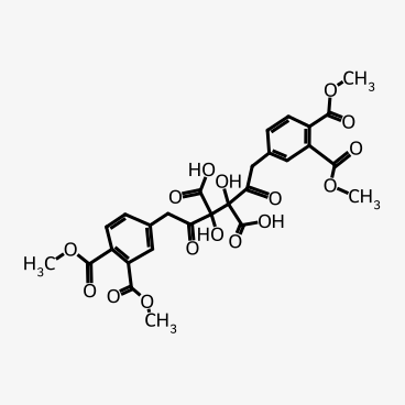 COC(=O)c1ccc(CC(=O)C(O)(C(=O)O)C(O)(C(=O)O)C(=O)Cc2ccc(C(=O)OC)c(C(=O)OC)c2)cc1C(=O)OC